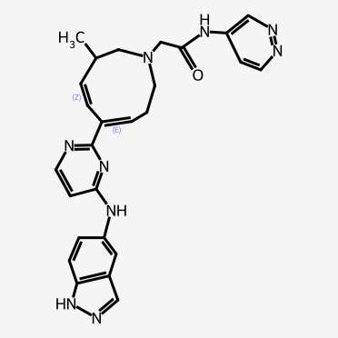 CC1/C=C\C(c2nccc(Nc3ccc4[nH]ncc4c3)n2)=C/CCN(CC(=O)Nc2ccnnc2)C1